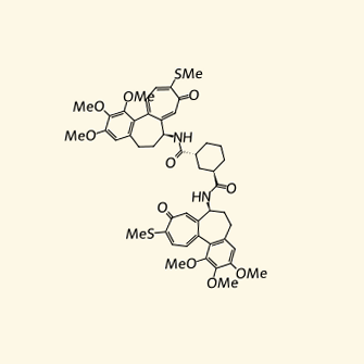 COc1cc2c(c(OC)c1OC)-c1ccc(SC)c(=O)cc1[C@@H](NC(=O)[C@@H]1CCC[C@@H](C(=O)N[C@H]3CCc4cc(OC)c(OC)c(OC)c4-c4ccc(SC)c(=O)cc43)C1)CC2